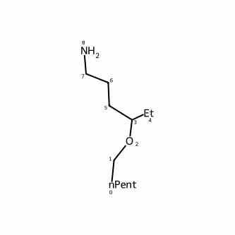 CCCCCCOC(CC)CCCN